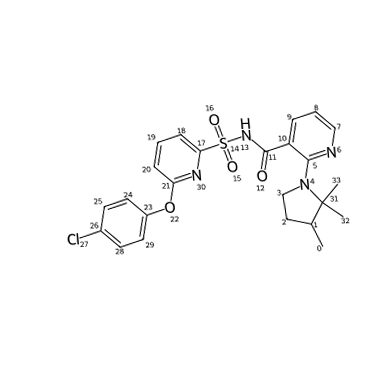 CC1CCN(c2ncccc2C(=O)NS(=O)(=O)c2cccc(Oc3ccc(Cl)cc3)n2)C1(C)C